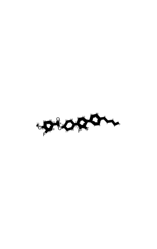 CCCCCc1ccc(-c2ccc(C3CCC(OC(=O)c4ccc(OC)c(F)c4)CC3)c(F)c2F)cc1